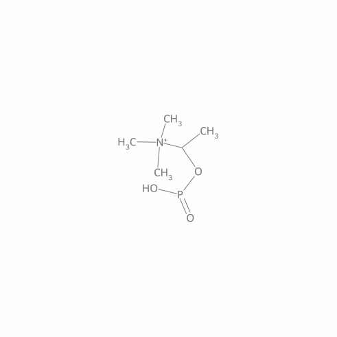 CC(O[P](=O)O)[N+](C)(C)C